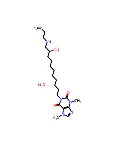 CCCCCCCCCCCCNCC(O)CCCCCCCCCn1c(=O)c2c(ncn2C)n(C)c1=O.O